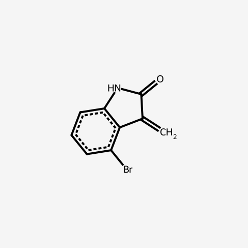 C=C1C(=O)Nc2cccc(Br)c21